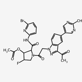 CC(=O)OC1C(F)CN(C(=O)Cn2nc(C(C)=O)c3cc(-c4cnc(C)nc4)ccc32)C1C(=O)Nc1cccc(Br)n1